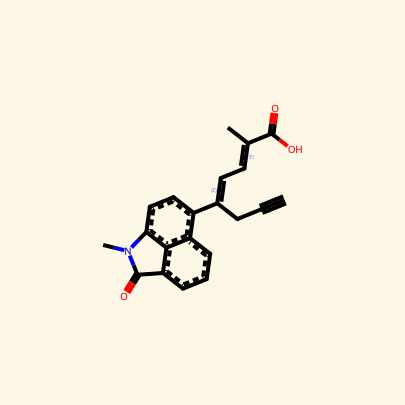 C#CC/C(=C\C=C(/C)C(=O)O)c1ccc2c3c(cccc13)C(=O)N2C